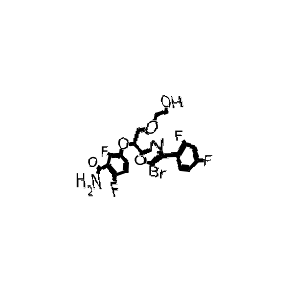 NC(=O)c1c(F)ccc(OC(COCCO)c2nc(-c3ccc(F)cc3F)c(Br)o2)c1F